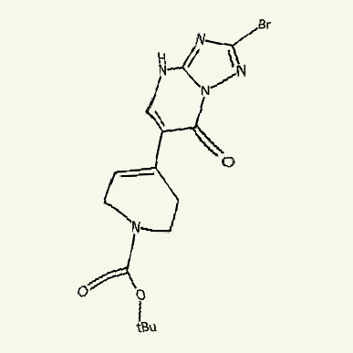 CC(C)(C)OC(=O)N1CC=C(c2c[nH]c3nc(Br)nn3c2=O)CC1